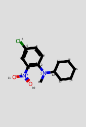 CN(c1ccc(Cl)cc1[N+](=O)[O-])C1CCCCC1